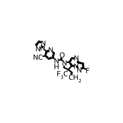 C=C[C@@]1(C(F)(F)F)CN(C(=O)Nc2cnc(-n3nccn3)c(C#N)c2)c2cnc3cc(F)nn3c21